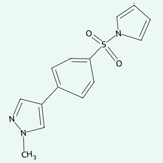 Cn1cc(-c2ccc(S(=O)(=O)n3c[c]cc3)cc2)cn1